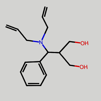 C=CCN(CC=C)C(c1ccccc1)C(CO)CO